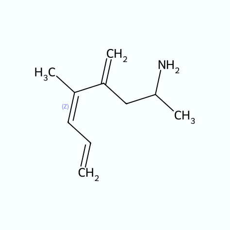 C=C/C=C(/C)C(=C)CC(C)N